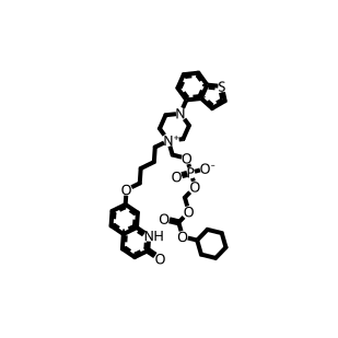 O=C(OCOP(=O)([O-])OC[N+]1(CCCCOc2ccc3ccc(=O)[nH]c3c2)CCN(c2cccc3sccc23)CC1)OC1CCCCC1